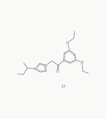 CCOc1cc(OCC)cc(C(=O)C[n+]2ccn(C(C)CC)c2)c1.[Cl-]